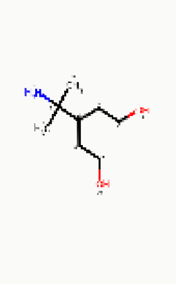 CC(C)(N)C(CCO)CCO